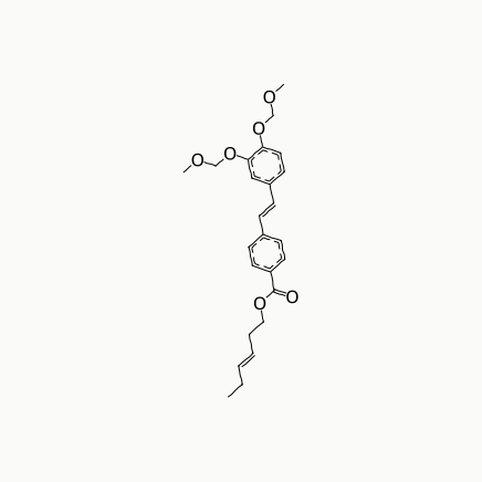 CC/C=C/CCOC(=O)c1ccc(/C=C/c2ccc(OCOC)c(OCOC)c2)cc1